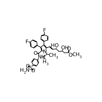 COC(=O)C[C@H](O)C[C@@H](O)/C=C/c1c(-c2ccc(F)cc2)c(-c2ccc(F)cc2)c(C(=O)Nc2ccc(S(N)(=O)=O)cc2)n1C(C)C